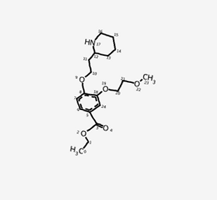 CCOC(=O)c1ccc(OCCC2CCCCN2)c(OCCOC)c1